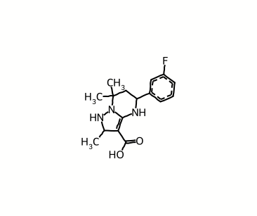 CC1NN2C(=C1C(=O)O)NC(c1cccc(F)c1)CC2(C)C